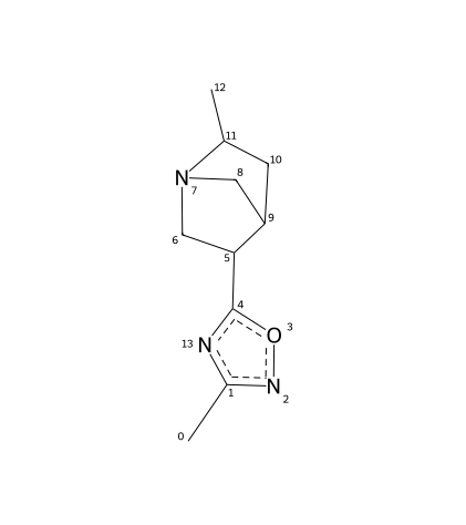 Cc1noc(C2CN3CC2CC3C)n1